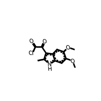 COc1cc2[nH]c(C)c(C(=O)C(=O)Cl)c2cc1OC